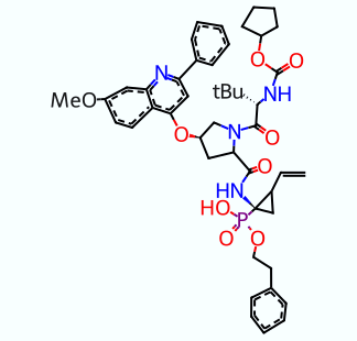 C=CC1C[C@]1(NC(=O)C1C[C@@H](Oc2cc(-c3ccccc3)nc3cc(OC)ccc23)CN1C(=O)[C@@H](NC(=O)OC1CCCC1)C(C)(C)C)P(=O)(O)OCCc1ccccc1